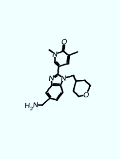 Cc1cc(-c2nc3cc(CN)ccc3n2CC2CCOCC2)cn(C)c1=O